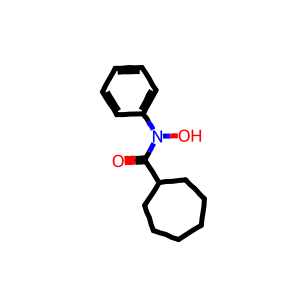 O=C(C1CCCCCC1)N(O)c1ccccc1